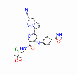 CC(C)(O)C(F)CNC(=O)c1cnc(-c2ccc3cc(C#N)cnn23)cc1Nc1ccc(-c2nnco2)cc1